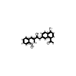 CC(=O)c1ccc(F)c2ccc(CC(=O)c3cc4ccccc4[n+]([O-])c3)cc12